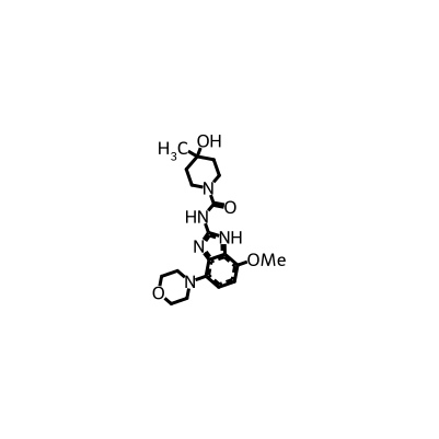 COc1ccc(N2CCOCC2)c2nc(NC(=O)N3CCC(C)(O)CC3)[nH]c12